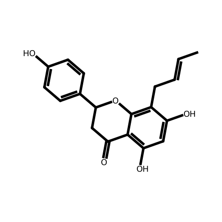 CC=CCc1c(O)cc(O)c2c1OC(c1ccc(O)cc1)CC2=O